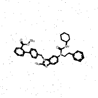 CCCCc1nc2ccc(N(CCc3ccccc3)C(=O)NC3CCCCC3)cc2n1Cc1ccc(-c2ccccc2C(=O)OC(C)(C)C)cc1